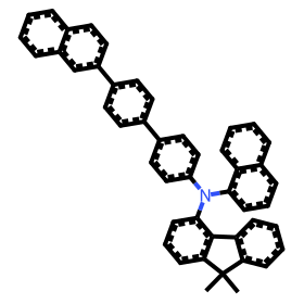 CC1(C)c2ccccc2-c2c(N(c3ccc(-c4ccc(-c5ccc6ccccc6c5)cc4)cc3)c3cccc4ccccc34)cccc21